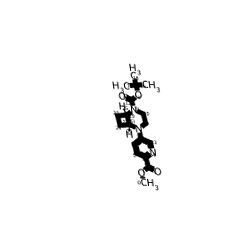 COC(=O)c1ccc(N2CCN(C(=O)OC(C)(C)C)[C@@H]3CC[C@@H]32)cn1